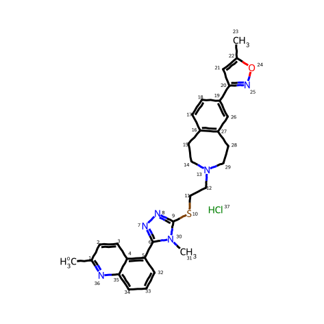 Cc1ccc2c(-c3nnc(SCCN4CCc5ccc(-c6cc(C)on6)cc5CC4)n3C)cccc2n1.Cl